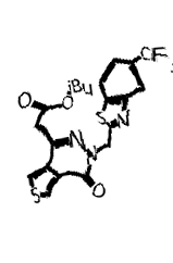 CCC(C)OC(=O)Cc1nn(Cc2nc3cc(C(F)(F)F)ccc3s2)c(=O)c2cscc12